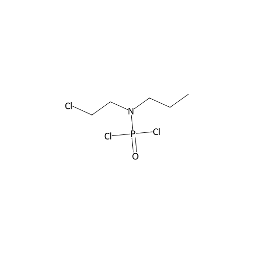 CCCN(CCCl)P(=O)(Cl)Cl